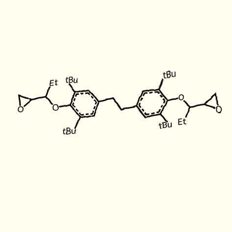 CCC(Oc1c(C(C)(C)C)cc(CCc2cc(C(C)(C)C)c(OC(CC)C3CO3)c(C(C)(C)C)c2)cc1C(C)(C)C)C1CO1